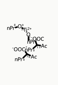 CCCC(C(C)=O)C(=O)[O-].CCCC(C(C)=O)C(=O)[O-].CCC[O][Ti+2][O]CCC